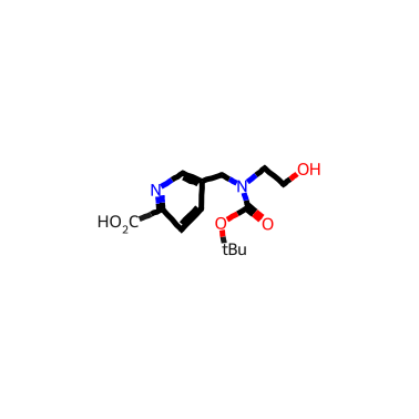 CC(C)(C)OC(=O)N(CCO)Cc1ccc(C(=O)O)nc1